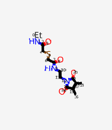 CCNC(=O)CSCC(=O)NCCN1C(=O)C(C)=C(C)C1=O